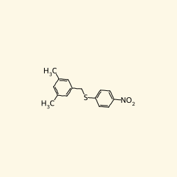 Cc1cc(C)cc(CSc2ccc([N+](=O)[O-])cc2)c1